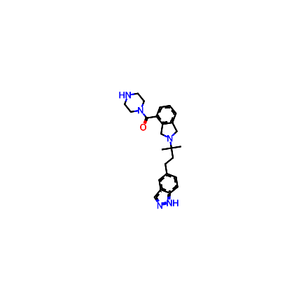 CC(C)(CCc1ccc2[nH]ncc2c1)N1Cc2cccc(C(=O)N3CCNCC3)c2C1